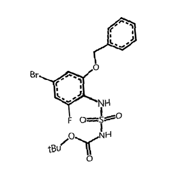 CC(C)(C)OC(=O)NS(=O)(=O)Nc1c(F)cc(Br)cc1OCc1ccccc1